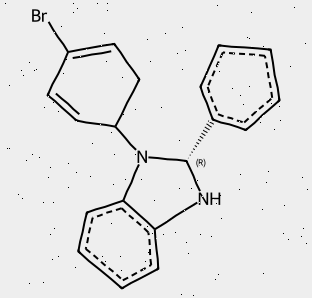 BrC1=CCC(N2c3ccccc3N[C@H]2c2ccccc2)C=C1